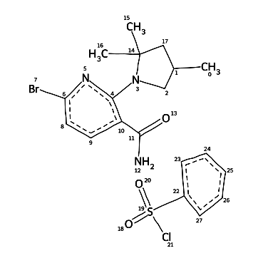 CC1CN(c2nc(Br)ccc2C(N)=O)C(C)(C)C1.O=S(=O)(Cl)c1ccccc1